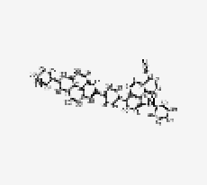 N#Cc1ccc2c3c1ccc1c(-c4ccc(-c5cc6ccc7cc(-c8cccnc8)cc8ccc(c5)c6c78)cc4)ccc(c13)n2-c1ccccc1